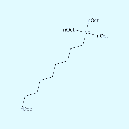 CCCCCCCCCCCCCCCCCC[N+](CCCCCCCC)(CCCCCCCC)CCCCCCCC